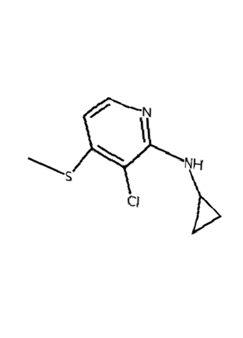 CSc1ccnc(NC2CC2)c1Cl